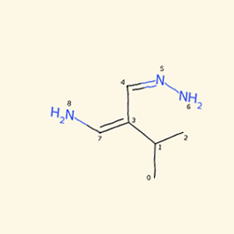 CC(C)C(/C=N\N)=C/N